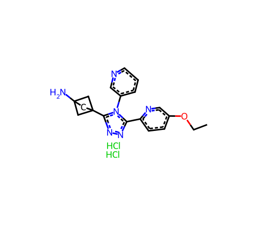 CCOc1ccc(-c2nnc(C34CC(N)(C3)C4)n2-c2cccnc2)nc1.Cl.Cl